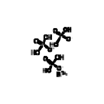 O=P([O-])(O)O.O=P([O-])(O)O.O=P([O-])(O)O.[Bi+3]